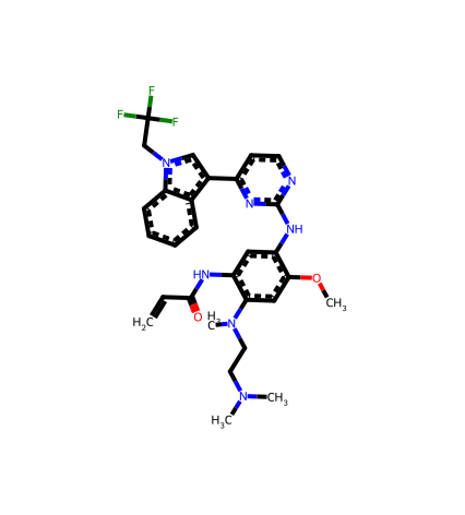 C=CC(=O)Nc1cc(Nc2nccc(-c3cn(CC(F)(F)F)c4ccccc34)n2)c(OC)cc1N(C)CCN(C)C